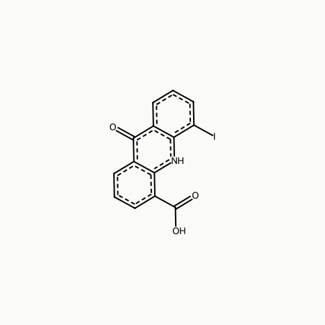 O=C(O)c1cccc2c(=O)c3cccc(I)c3[nH]c12